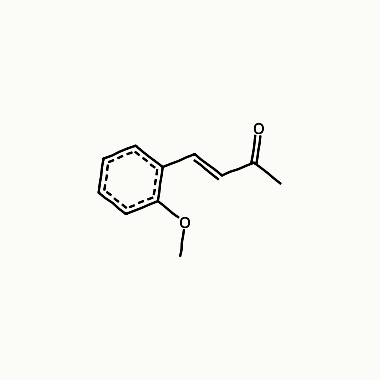 COc1ccccc1C=CC(C)=O